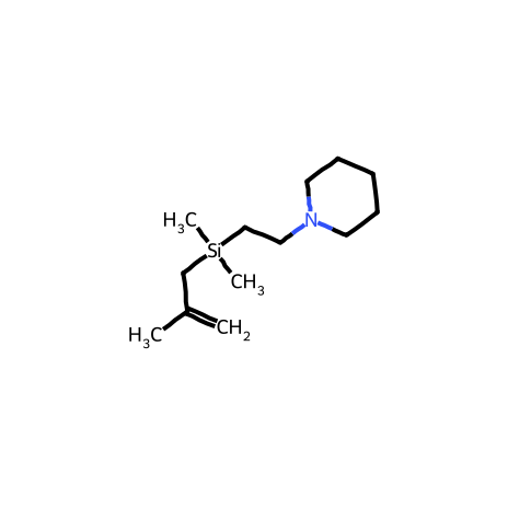 C=C(C)C[Si](C)(C)CCN1CCCCC1